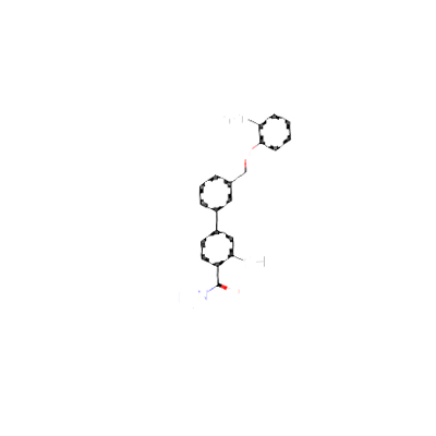 CCCc1ccccc1OCc1cccc(-c2ccc(C(N)=O)c(C)c2)c1